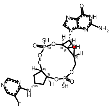 Nc1nc2c(ncn2[C@@H]2O[C@@H]3CO[P@](=O)(S)O[C@H]4C[C@H](Nc5ncncc5F)C[C@@H]4CO[P@](=O)(S)O[C@@H]2[C@@H]3O)c(=O)[nH]1